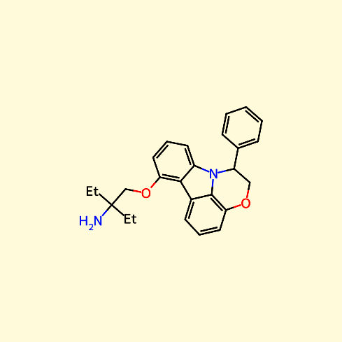 CCC(N)(CC)COc1cccc2c1c1cccc3c1n2C(c1ccccc1)CO3